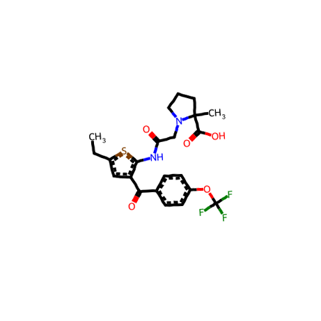 CCc1cc(C(=O)c2ccc(OC(F)(F)F)cc2)c(NC(=O)CN2CCCC2(C)C(=O)O)s1